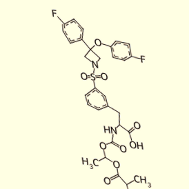 CC(OC(=O)NC(Cc1cccc(S(=O)(=O)N2CC(Oc3ccc(F)cc3)(c3ccc(F)cc3)C2)c1)C(=O)O)OC(=O)C(C)C